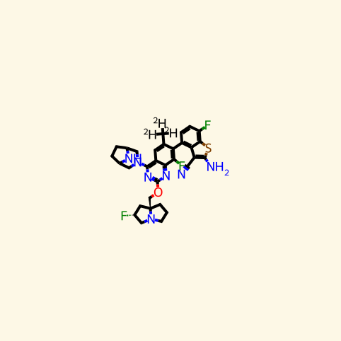 [2H]C([2H])([2H])c1cc2c(N3CC4CCC(C3)N4)nc(OC[C@@]34CCCN3C[C@H](F)C4)nc2c(F)c1-c1ccc(F)c2sc(N)c(C#N)c12